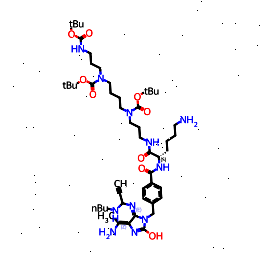 C#CC(/N=C1\C(=C(/C)N)N=C(O)N1Cc1ccc(C(=O)N[C@@H](CCCCN)C(=O)NCCCN(CCCCN(CCCNC(=O)OC(C)(C)C)C(=O)OC(C)(C)C)C(=O)OC(C)(C)C)cc1)NCCCC